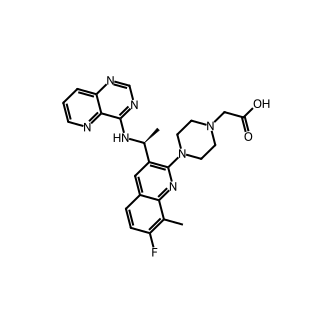 Cc1c(F)ccc2cc([C@H](C)Nc3ncnc4cccnc34)c(N3CCN(CC(=O)O)CC3)nc12